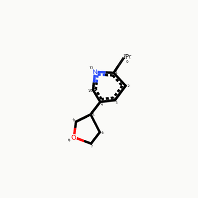 CC(C)c1ccc(C2CCOC2)cn1